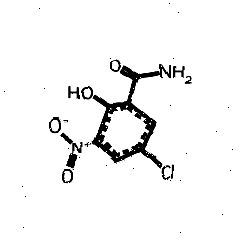 NC(=O)c1cc(Cl)cc([N+](=O)[O-])c1O